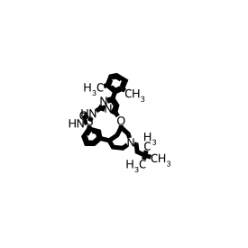 Cc1cccc(C)c1-c1cc2nc(n1)NS(=N)(=O)c1cccc(c1)C1CCN(CCC(C)(C)C)CC(C1)O2